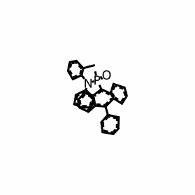 Cc1ccccc1N(c1ccccc1)P(C)(=O)c1c2ccccc2c(-c2ccccc2)c2ccccc12